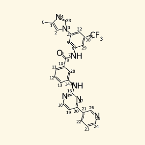 Cc1cn(-c2cc(NC(=O)c3cccc(Nc4nccc(-c5cccnc5)n4)c3)cc(C(F)(F)F)c2)cn1